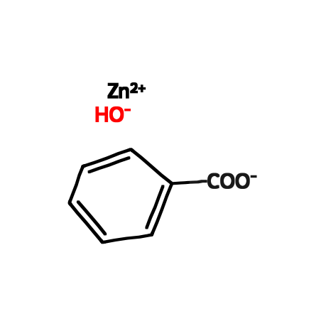 O=C([O-])c1ccccc1.[OH-].[Zn+2]